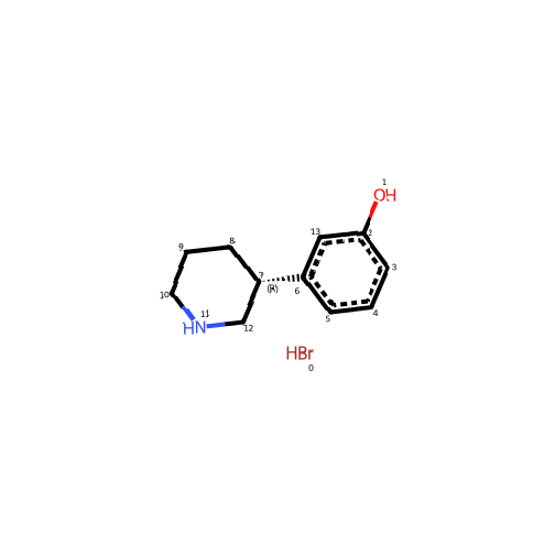 Br.Oc1cccc([C@H]2CCCNC2)c1